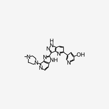 CN1CCN(c2nccc3[nH]c(-c4n[nH]c5ccc(-c6cncc(O)c6)nc45)nc23)CC1